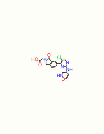 O=C(O)CN1Cc2ccc(-c3nc(NC4=CNOC=C4)ncc3Cl)cc2C1=O